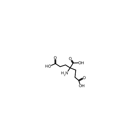 NC(CCC(=O)O)(CCC(=O)O)C(=O)O